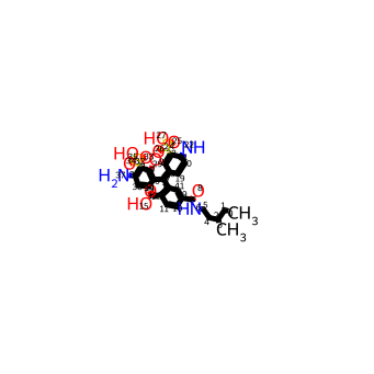 CCC(C)CCNC(=O)c1ccc(C(=O)O)c(-c2c3ccc(=N)c(S(=O)(=O)O)c-3oc3c(S(=O)(=O)O)c(N)ccc23)c1